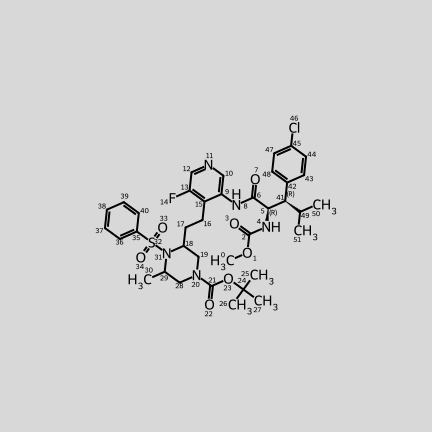 COC(=O)N[C@@H](C(=O)Nc1cncc(F)c1CCC1CN(C(=O)OC(C)(C)C)CC(C)N1S(=O)(=O)c1ccccc1)[C@@H](c1ccc(Cl)cc1)C(C)C